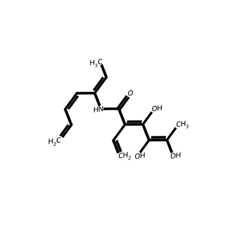 C=C/C=C\C(=C/C)NC(=O)/C(C=C)=C(O)/C(O)=C(\C)O